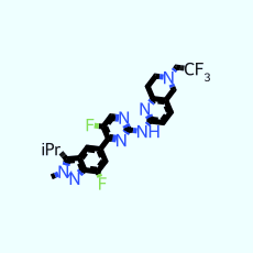 CC(C)c1c2cc(-c3nc(Nc4ccc5c(n4)CCN(CC(F)(F)F)C5)ncc3F)cc(F)c2nn1C